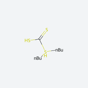 CCCC[SH](CCCC)C(=S)S